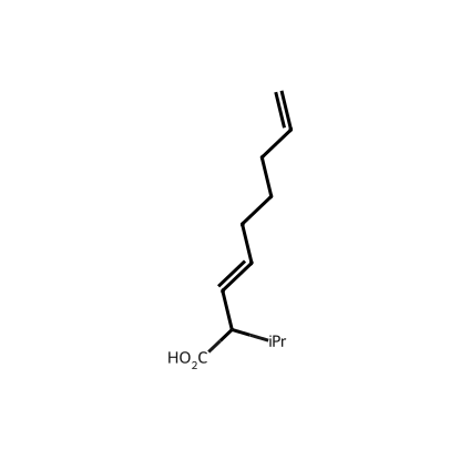 C=CCCC/C=C/C(C(=O)O)C(C)C